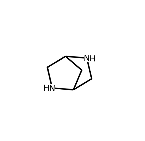 C1NC2CN[C]1C2